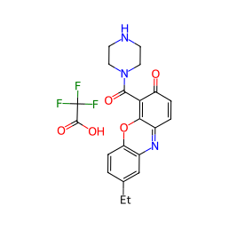 CCc1ccc2oc3c(C(=O)N4CCNCC4)c(=O)ccc-3nc2c1.O=C(O)C(F)(F)F